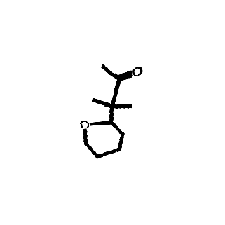 CC(=O)C(C)(C)C1CCCCO1